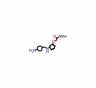 CNC(=O)COc1cccc(NCC2CCC(N)CC2)c1